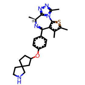 Cc1sc2c(c1C)C(c1ccc(OC3CCC4(CCNC4)C3)cc1)=N[C@@H](C)c1nnc(C)n1-2